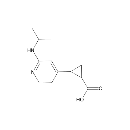 CC(C)Nc1cc(C2CC2C(=O)O)ccn1